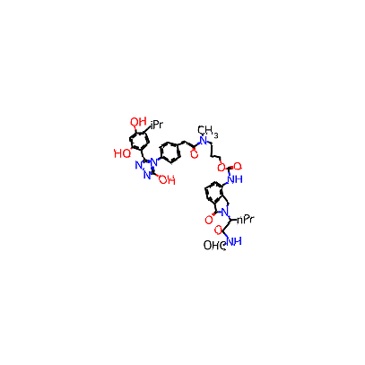 CCCC(C(=O)NC=O)N1Cc2c(NC(=O)OCCCN(C)C(=O)Cc3ccc(-n4c(O)nnc4-c4cc(C(C)C)c(O)cc4O)cc3)cccc2C1=O